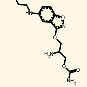 CCCCNc1ccc2onc(OCC(N)COC(N)=O)c2c1